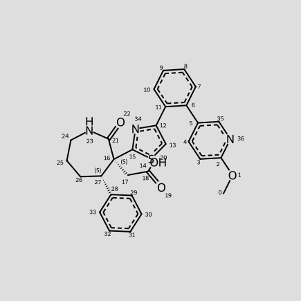 COc1ccc(-c2ccccc2-c2csc([C@]3(CC(=O)O)C(=O)NCCC[C@H]3c3ccccc3)n2)cn1